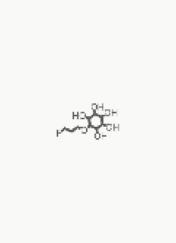 OC1C(O)C(O)C(OCCCF)C(O)C1O